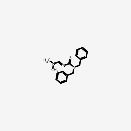 CN(C)C=NC(=S)N(Cc1ccccc1)Cc1ccccc1